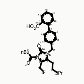 CCCCC(=O)n1c(CF)c(CCC(C)C)n(Cc2ccc(-c3ccccc3C(=O)O)cc2)c1=O